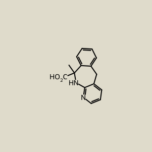 CC1(C(=O)O)Nc2ncccc2Cc2ccccc21